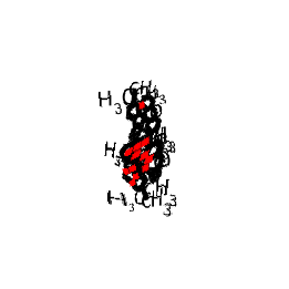 CC(C)(C)c1ccc2c(c1)C1(c3ccccc3Oc3ccc(N(c4ccc5c(c4)C4(c6ccccc6O5)c5cc(C(C)(C)C)ccc5-c5ccc(C(C)(C)C)cc54)c4ccccc4-c4cccc5ccccc45)cc31)c1cc(C(C)(C)C)ccc1-2